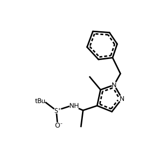 Cc1c(C(C)N[S+]([O-])C(C)(C)C)cnn1Cc1ccccc1